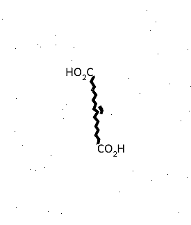 C=CC.O=C(O)CCCCCCCCCCCCCCCCC(=O)O